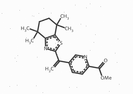 C=C(c1ccc(C(=O)OC)nc1)c1nc2c(s1)C(C)(C)CCC2(C)C